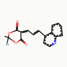 CCC1(C)OC(=O)C(=C/C=C/c2ccnc3ccccc23)C(=O)O1